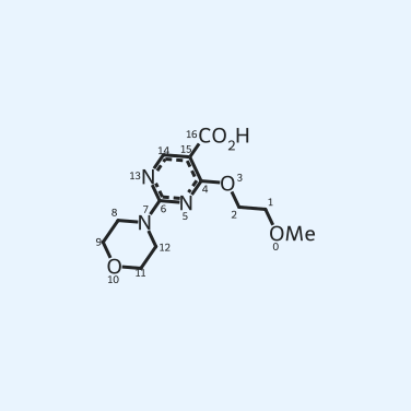 COCCOc1nc(N2CCOCC2)ncc1C(=O)O